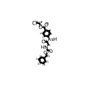 O=C(NCC(=O)[AsH]c1ccc(C(=O)OCCl)cc1)OCc1ccccc1